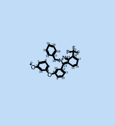 COc1cccc(Oc2cccc(-c3c4cccc(C(F)(F)F)c4nn3Cc3ccccc3)c2)c1